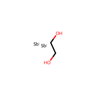 OCCO.[Sb].[Sb]